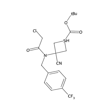 CC(C)(C)OC(=O)[SiH]1CC(C#N)(N(Cc2ccc(C(F)(F)F)cc2)C(=O)CCl)C1